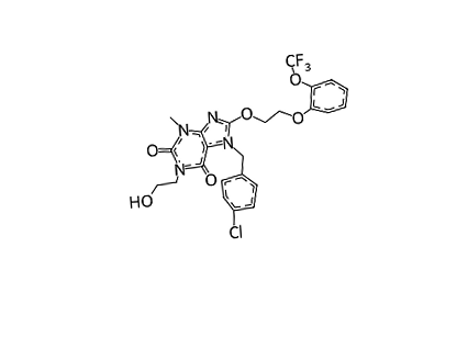 Cn1c(=O)n(CCO)c(=O)c2c1nc(OCCOc1ccccc1OC(F)(F)F)n2Cc1ccc(Cl)cc1